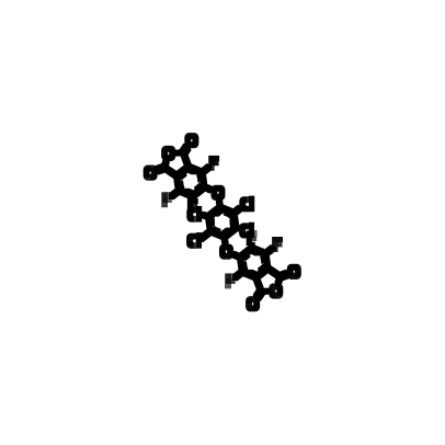 O=C1OC(=O)c2c(F)c(Oc3c(Cl)c(Cl)c(Oc4c(F)c(F)c5c(c4F)C(=O)OC5=O)c(Cl)c3Cl)c(F)c(F)c21